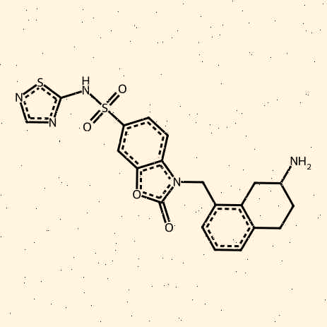 NC1CCc2cccc(Cn3c(=O)oc4cc(S(=O)(=O)Nc5ncns5)ccc43)c2C1